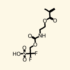 C=C(C)C(=O)OCCNC(=O)OCC(F)(F)S(=O)(=O)O